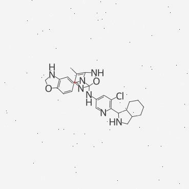 CC1=C2NOC(Nc3cnc(C4NCC5CCCCC54)c(Cl)c3)(N=C1)N2c1ccc2c(c1)NCO2